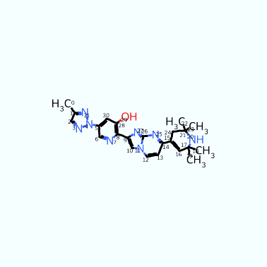 Cc1cnn(-c2cnc(-c3cn4ccc(C5=CC(C)(C)NC(C)(C)C5)nc4n3)c(O)c2)n1